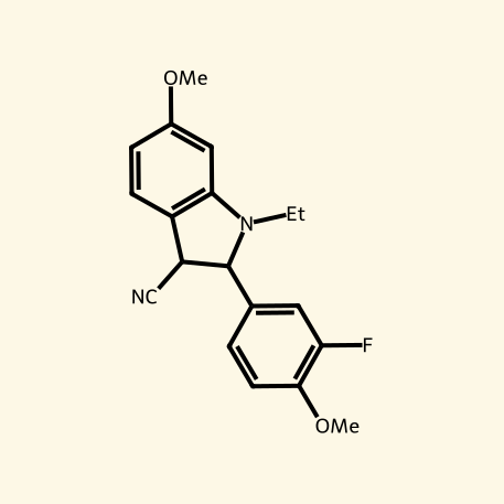 CCN1c2cc(OC)ccc2C(C#N)C1c1ccc(OC)c(F)c1